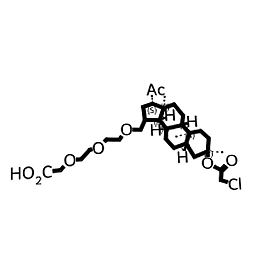 CC(=O)[C@H]1CC(COCCOCCOCC(=O)O)[C@H]2[C@@H]3CC[C@H]4C[C@](C)(OC(=O)CCl)CC[C@]4(C)[C@H]3CC[C@]12C